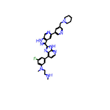 CNCCN(C)c1cc(F)cc(-c2ccnc3[nH]c(-c4n[nH]c5cnc(-c6cncc(CN7CCCCC7)c6)cc45)nc23)c1